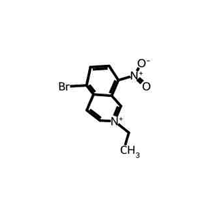 CC[n+]1ccc2c(Br)ccc([N+](=O)[O-])c2c1